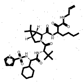 C=CCNC(=O)C(=O)C(CCCC)NC(=O)[C@@H]1[C@@H]2[C@H](CN1C(=O)[C@@H](NC(=O)[C@@H](NS(=O)(=O)c1cccs1)C1CCCCC1)C(C)(C)C)C2(C)C